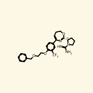 N=C(N)N1CCC[C@H]1C1=NC(c2ccc(OCCOCc3ccccc3)c(C(F)(F)F)c2)=CCCO1